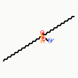 CCCCCCCCCCCCCCCCCCCCCC[PH-](OCC[N+](C)(C)C)C(=O)CCCCCCCCCCCCCCCCC